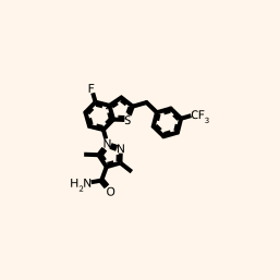 Cc1nn(-c2ccc(F)c3cc(Cc4cccc(C(F)(F)F)c4)sc23)c(C)c1C(N)=O